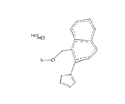 Cl.Cl.[Ti][O]Cc1c(C2=CC=CC2)ccc2ccccc12